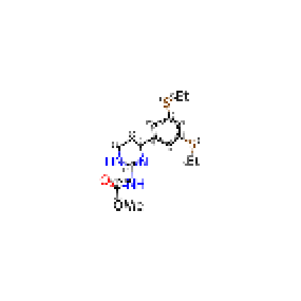 CCSc1cc(SCC)cc(C2CCNC(NC(=O)OC)=N2)c1